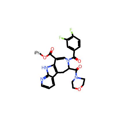 CC(C)OC(=O)C1=CN(C(=O)c2ccc(F)c(F)c2)C(C(=O)N2CCOCC2)Cc2c1[nH]c1ncccc21